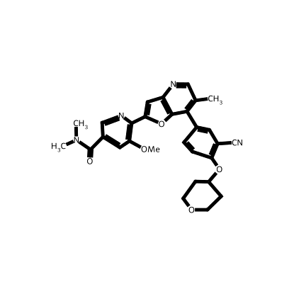 COc1cc(C(=O)N(C)C)cnc1-c1cc2ncc(C)c(-c3ccc(OC4CCOCC4)c(C#N)c3)c2o1